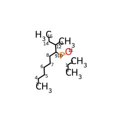 CCC.CCCCCCC(P=O)C(C)CC